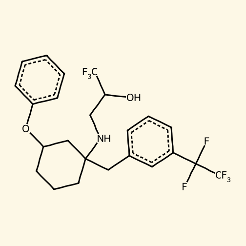 OC(CNC1(Cc2cccc(C(F)(F)C(F)(F)F)c2)CCCC(Oc2ccccc2)C1)C(F)(F)F